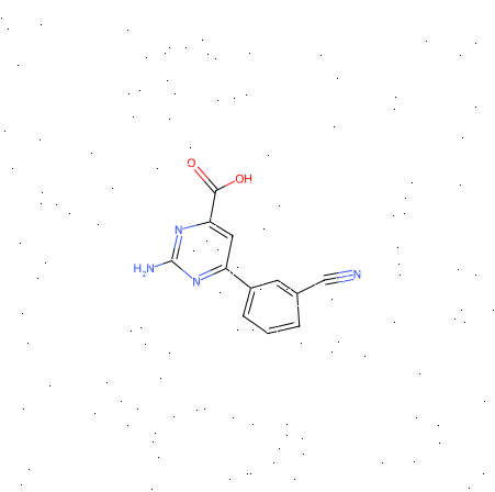 N#Cc1cccc(-c2cc(C(=O)O)nc(N)n2)c1